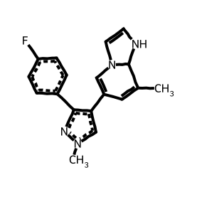 CC1=CC(c2cn(C)nc2-c2ccc(F)cc2)=CN2C=CNC12